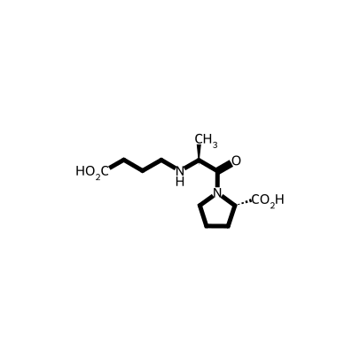 C[C@H](NCCCC(=O)O)C(=O)N1CCC[C@H]1C(=O)O